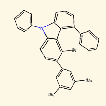 CC(C)c1c(-c2cc(C(C)(C)C)cc(C(C)(C)C)c2)ccc2c1c1c(-c3ccccc3)cccc1n2-c1ccccc1